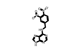 O=[N+]([O-])c1ccc(CNc2ncnc3[nH]cnc23)cc1[N+](=O)[O-]